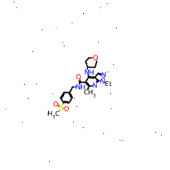 CCn1ncc2c(NC3CCOCC3)c(C(=O)NCc3ccc(S(C)(=O)=O)cc3)c(C)nc21